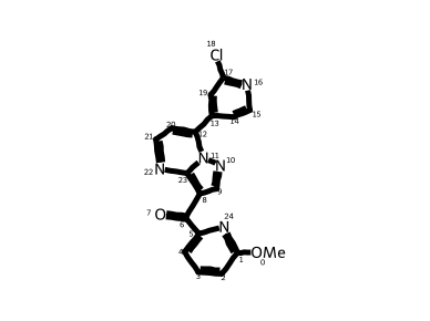 COc1cccc(C(=O)c2cnn3c(-c4ccnc(Cl)c4)ccnc23)n1